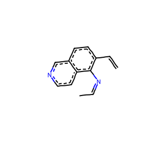 C=Cc1ccc2cnccc2c1/N=C\C